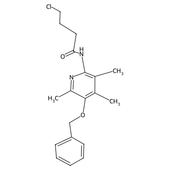 Cc1nc(NC(=O)CCCCl)c(C)c(C)c1OCc1ccccc1